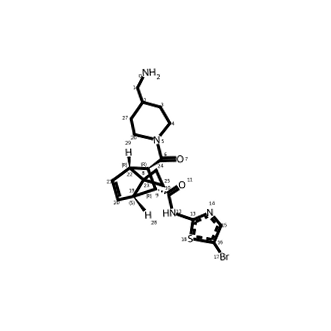 NCC1CCN(C(=O)[C@H]2[C@H](C(=O)Nc3ncc(Br)s3)[C@@H]3C=C[C@H]2C32CC2)CC1